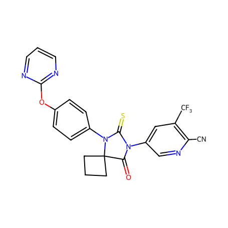 N#Cc1ncc(N2C(=O)C3(CCC3)N(c3ccc(Oc4ncccn4)cc3)C2=S)cc1C(F)(F)F